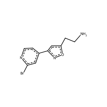 NCCc1cc(-c2ccnc(Br)c2)no1